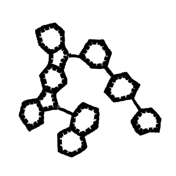 c1ccc(-c2ccc(-c3cccc(-n4c5ccccc5c5cc6c7ccccc7n(-c7cccc8ccccc78)c6cc54)c3)cc2)cc1